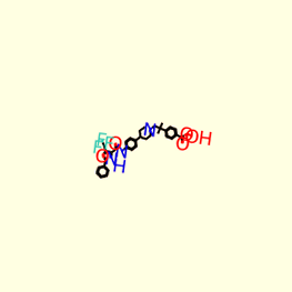 CC(C)(CN1CCC(c2ccc(NC(=O)c3nc(-c4ccccc4)oc3C(F)(F)F)cc2)CC1)c1ccc(C(=O)OO)cc1